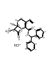 C=CC1=C(C(=O)OC(c2ccccc2)c2ccccc2)N2C(=O)C(N)[C@@H]2SC1.Cl